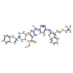 CCOC(=O)c1nc(N(C)c2cc(C)c(/N=c3\sc4ccccc4n3COCC[Si](C)(C)C)nn2)sc1C1CCN(C(=O)Cc2ccccc2)CC1